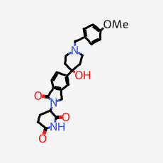 COc1ccc(CN2CCC(O)(c3ccc4c(c3)CN(C3CCC(=O)NC3=O)C4=O)CC2)cc1